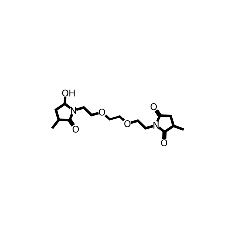 CC1CC(=O)N(CCOCCOCCN2C(=O)C(C)CC2O)C1=O